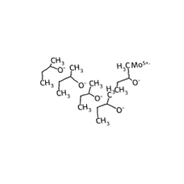 CCC(C)[O-].CCC(C)[O-].CCC(C)[O-].CCC(C)[O-].CCC(C)[O-].[Mo+5]